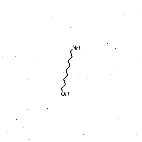 [NH]CCCCCCCCCO